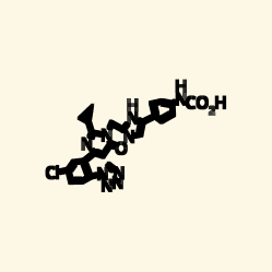 O=C(O)Nc1ccc(-c2cnc(Cn3c(C4CC4)nc(-c4cc(Cl)ccc4-n4cnnn4)cc3=O)[nH]2)cc1